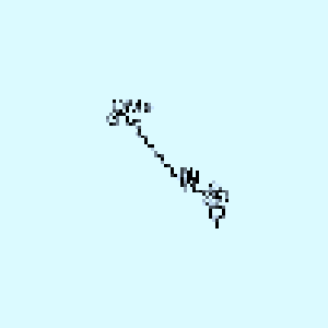 COC(=O)CCSCCCCCCCCCc1cn(CCOS(=O)(=O)c2ccc(C)cc2)nn1